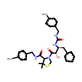 COc1ccc(CNC(=O)N[C@@H](Cc2ccccc2)[C@H](O)C(=O)N2CSC(C)(C)C2C(=O)NCc2ccc(OC)cc2)cc1